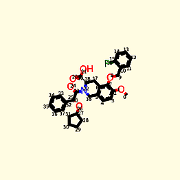 COc1ccc2c(c1OCc1ccccc1F)C[C@@H](C(=O)O)N(C(=O)[C@H](OC1CCCC1)c1ccccc1)C2